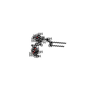 CCCCCCCCCCCCCCCC(=O)O[C@H](COC(=O)C(C)CCCCCCCCCCCCC)COP(=O)(O)OCCNC(=O)C1OC(O[C@H]2CC[C@@]3(C)C(CC[C@]4(C)C3CC=C3C5CC(C)(C)CC[C@]5(C(=O)OC5OC(C)C(O)C(O)C5OC5OC(C)C(O)C(OC)C5OC5OC(CO)C(O)C(O)C5O)[C@H](O)C[C@]34C)[C@]2(C)C=O)C(OC2OC(CO)C(O)C(O)C2O)C(OC2OCC(O)C(O)C2O)C1O